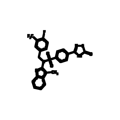 Cc1c(N(Cc2ccc(F)c(C(F)(F)F)c2)S(=O)(=O)c2ccc([C]3=NS[C](=O)[Na]3)cc2)sc2ccccc12